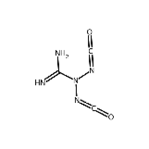 N=C(N)N(N=C=O)N=C=O